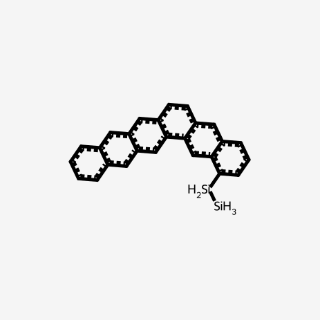 [SiH3][SiH2]c1cccc2cc3ccc4cc5cc6ccccc6cc5cc4c3cc12